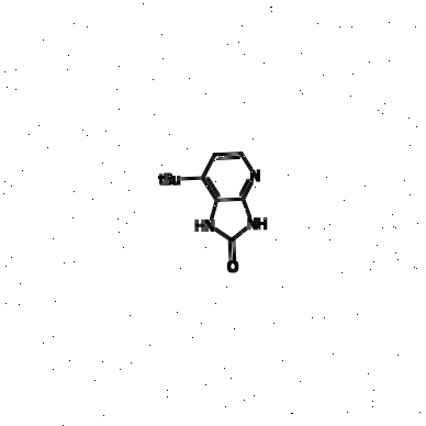 CC(C)(C)c1ccnc2[nH]c(=O)[nH]c12